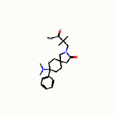 CNC(=O)C(C)(C)CN1CC2(CCC(c3ccccc3)(N(C)C)CC2)CC1=O